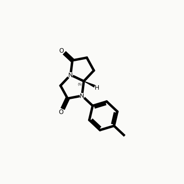 Cc1ccc(N2C(=O)CN3C(=O)CC[C@@H]32)cc1